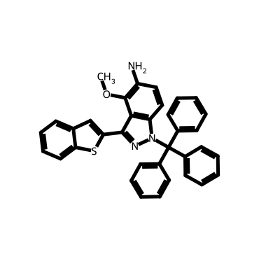 COc1c(N)ccc2c1c(-c1cc3ccccc3s1)nn2C(c1ccccc1)(c1ccccc1)c1ccccc1